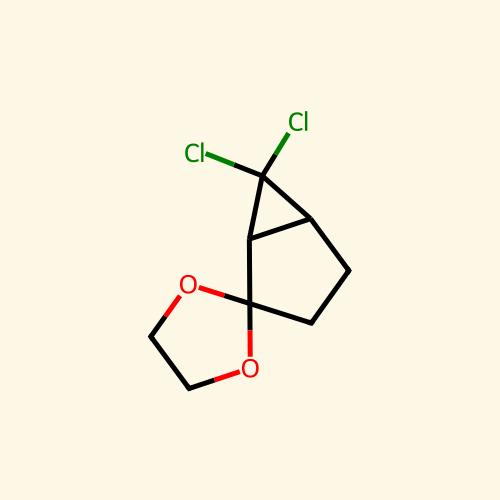 ClC1(Cl)C2CCC3(OCCO3)C21